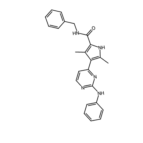 Cc1[nH]c(C(=O)NCc2ccccc2)c(C)c1-c1ccnc(Nc2ccccc2)n1